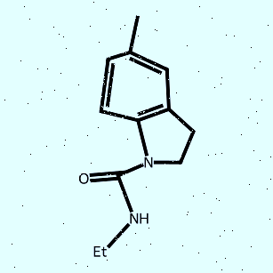 CCNC(=O)N1CCc2cc(C)ccc21